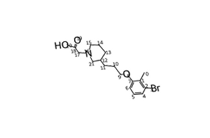 Cc1c(Br)cccc1OCCCC1CCCN(CC(=O)O)C1